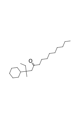 CCCCCCCCCC(=O)CC(C)(CC)C1CCCCC1